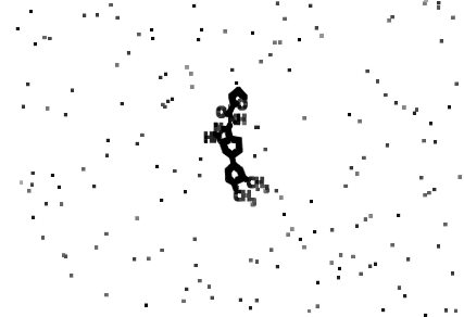 Cc1ccc(-c2ccc3c(NC(=O)c4ccco4)n[nH]c3c2)cc1C